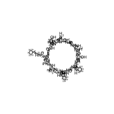 CCCC[C@H]1C(=O)N(C)[C@@H](CCCC)C(=O)N[C@@H](CC(C)C)C(=O)N[C@H](C(=O)NCC(=O)NCCSc2ccccc2)CSCC(=O)N[C@@H](Cc2ccc(O)cc2)C(=O)N(C)[C@@H](C)C(=O)N[C@@H](CC(N)=O)C(=O)N2CCC[C@H]2C(=O)N[C@@H](CN)C(=O)N[C@@H](CC(C)C)C(=O)N2C[C@H](O)C[C@H]2C(=O)N[C@@H](Cc2c[nH]c3ccccc23)C(=O)NCC(=O)NC(Cc2c[nH]c3ccccc23)C(=O)N1C